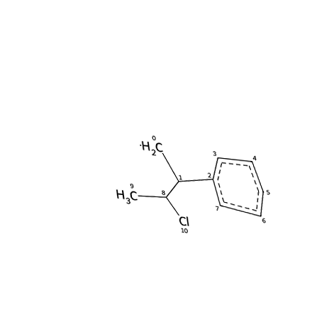 [CH2]C(c1ccccc1)C(C)Cl